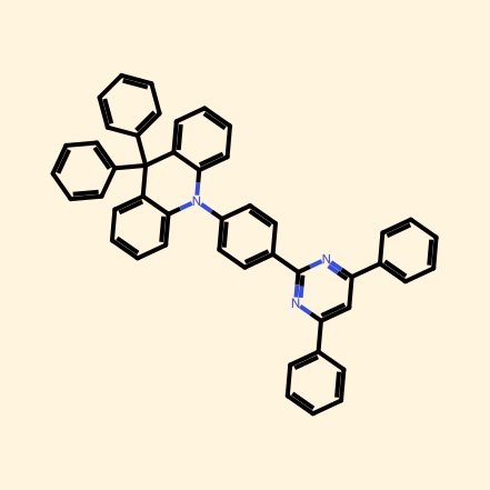 c1ccc(-c2cc(-c3ccccc3)nc(-c3ccc(N4c5ccccc5C(c5ccccc5)(c5ccccc5)c5ccccc54)cc3)n2)cc1